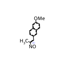 COc1ccc2cc(/C=C(\C)N=O)ccc2c1